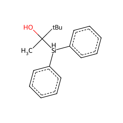 CC(C)(C)C(C)(O)[SiH](c1ccccc1)c1ccccc1